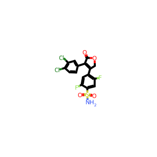 NS(=O)(=O)c1cc(F)c(C2=C(c3ccc(Cl)c(Cl)c3)C(=O)OC2)cc1F